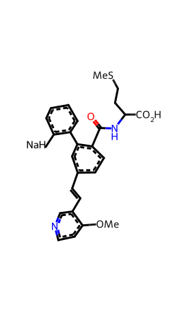 COc1ccncc1C=Cc1ccc(C(=O)NC(CCSC)C(=O)O)c(-c2ccccc2C)c1.[NaH]